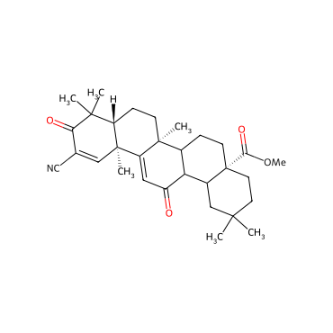 COC(=O)[C@@]12CCC3C(C(=O)C=C4[C@@]3(C)CC[C@H]3C(C)(C)C(=O)C(C#N)=C[C@]43C)C1CC(C)(C)CC2